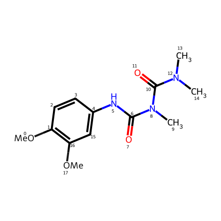 COc1ccc(NC(=O)N(C)C(=O)N(C)C)cc1OC